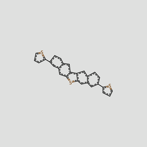 c1csc(-c2ccc3cc4c(cc3c2)sc2cc3cc(-c5cccs5)ccc3cc24)c1